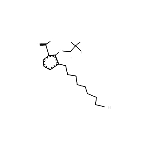 CCCCCCCCCc1cccc(C(=O)O)c1O[C@@H](C)C(F)(F)F